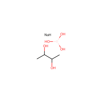 CC(O)C(C)O.OB(O)O.[NaH]